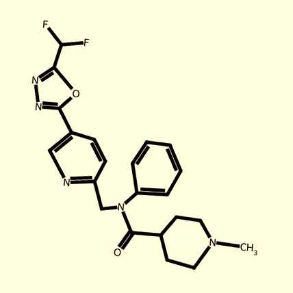 CN1CCC(C(=O)N(Cc2ccc(-c3nnc(C(F)F)o3)cn2)c2ccccc2)CC1